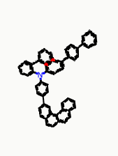 c1ccc(-c2ccc(-c3ccc(N(c4ccc(-c5ccc6ccc7ccc8ccccc8c7c6c5)cc4)c4ccccc4-c4ccccc4)cc3)cc2)cc1